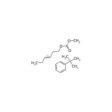 CC(C)(C)c1[c]cccc1.CC/C=C/CCOC(=O)OC